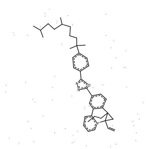 C=CC12CC1(CCC)c1ccc(-c3nnc(-c4ccc(C(C)(C)CCCC(C)CCC(C)C)cc4)o3)cc1-c1cccc[n+]12